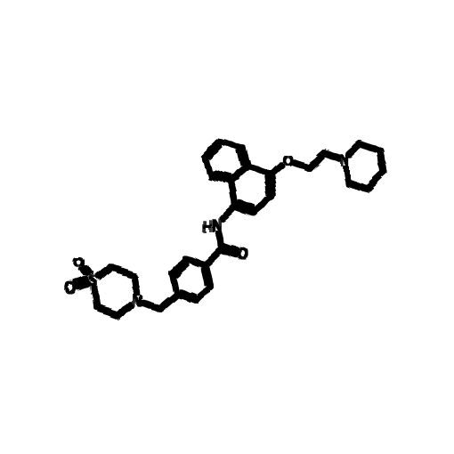 O=C(Nc1ccc(OCCN2CCCCC2)c2ccccc12)c1ccc(CN2CCS(=O)(=O)CC2)cc1